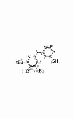 CC(C)(C)c1cc(Cc2cc(S)ccn2)cc(C(C)(C)C)c1O